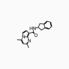 Cc1cc(C)n2ccc(C(=O)NC3Cc4ccccc4C3)c2n1